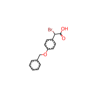 O=C(O)C(Br)c1ccc(OCc2ccccc2)cc1